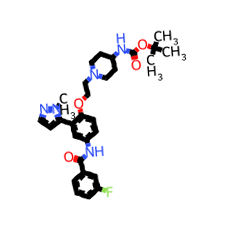 Cn1nccc1-c1cc(NC(=O)c2cccc(F)c2)ccc1OCCN1CCC(NC(=O)OC(C)(C)C)CC1